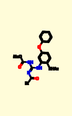 CCC(=O)/N=C(/NC(=O)OC)Nc1cc(Oc2ccccc2)ccc1NC(C)=O